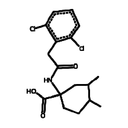 CC1CCC(NC(=O)Cc2c(Cl)cccc2Cl)(C(=O)O)CC1C